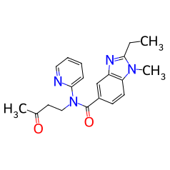 CCc1nc2cc(C(=O)N(CCC(C)=O)c3ccccn3)ccc2n1C